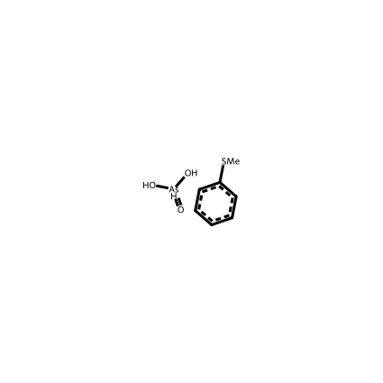 CSc1ccccc1.O=[AsH](O)O